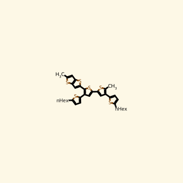 CCCCCCc1ccc(-c2cc(-c3cc(-c4ccc(CCCCCC)s4)c(-c4cc5sc(C)cc5s4)s3)sc2C)s1